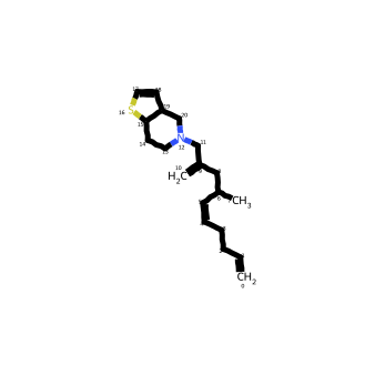 C=CCC/C=C\C(C)CC(=C)CN1CCC2SC=CC2C1